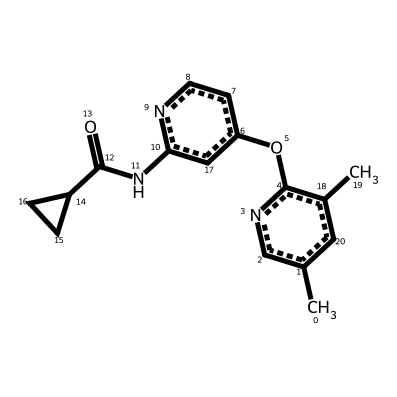 Cc1cnc(Oc2ccnc(NC(=O)C3CC3)c2)c(C)c1